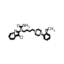 COc1ccccc1N1CCN(CCCCN(C(N)=O)c2nn3ccccc3c2Cl)CC1